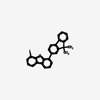 CC1(C)c2ccccc2-c2ccc(-c3cccc4c3sc3c(I)cccc34)cc21